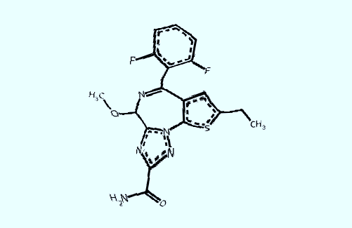 CCc1cc2c(s1)-n1nc(C(N)=O)nc1C(OC)N=C2c1c(F)cccc1F